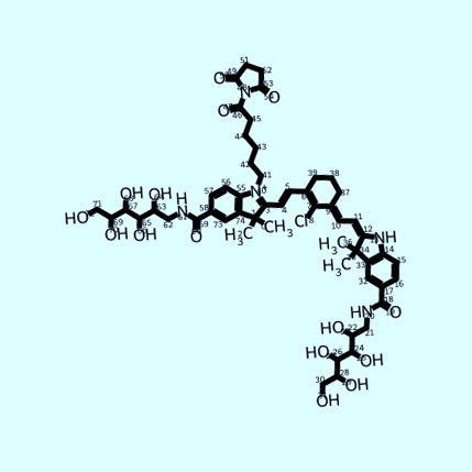 CC1(C)C(/C=C/C2=C(Cl)C(=C/C=C3/Nc4ccc(C(=O)NCC(O)C(O)C(O)C(O)CO)cc4C3(C)C)/CCC2)=[N+](CCCCCC(=O)N2C(=O)CCC2=O)c2ccc(C(=O)NCC(O)C(O)C(O)C(O)CO)cc21